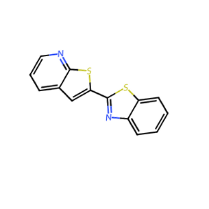 c1cnc2sc(-c3nc4ccccc4s3)cc2c1